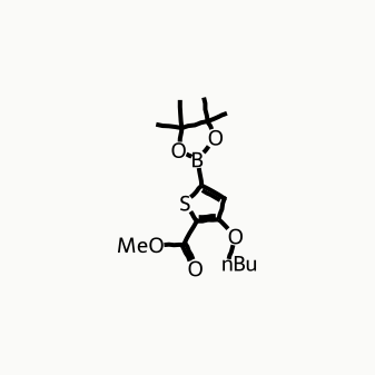 CCCCOc1cc(B2OC(C)(C)C(C)(C)O2)sc1C(=O)OC